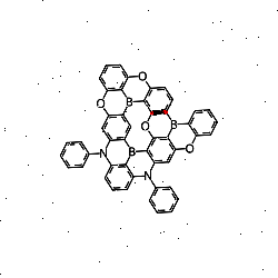 c1ccc(N2c3cc4c(cc3B3c5c2cccc5N(c2ccccc2)c2cc5c6c(c23)Oc2ccccc2B6c2ccccc2O5)B2c3ccccc3Oc3cccc(c32)O4)cc1